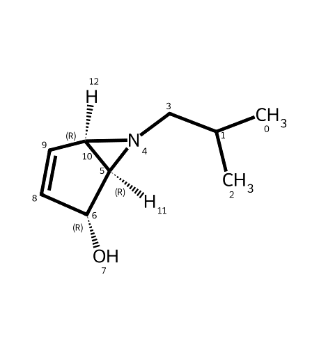 CC(C)CN1[C@H]2[C@H](O)C=C[C@H]21